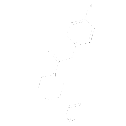 COC(=O)[C@@H]1CC[C@H](C)N(C(=O)Cc2ccc(O)cc2)C1